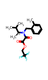 Cc1ccccc1CN(C(=O)C(=O)OCC(F)(F)F)[C@@H](C)C(C)C